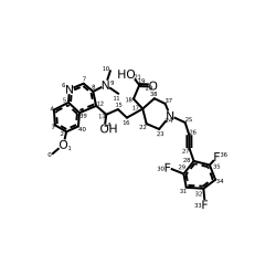 COc1ccc2ncc(N(C)C)c(C(O)CCC3(CC(=O)O)CCN(CC#Cc4c(F)cc(F)cc4F)CC3)c2c1